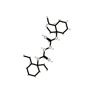 CCC1CCCCC1(CC)OC(=O)OOC(=O)OC1(CC)CCCCC1CC